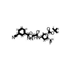 CC(C)(C)OC(=O)N1C[C@H](NC(=O)c2nnc(-c3cccc(C#N)c3)o2)C[C@H]1CF